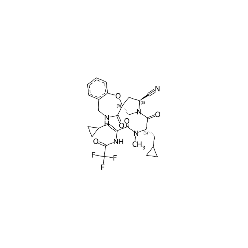 CN(C(=O)C(=CC1CC1)NC(=O)C(F)(F)F)[C@@H](CC1CC1)C(=O)N1C[C@@]2(C[C@H]1C#N)Oc1ccccc1CNC2=O